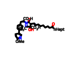 CCCCCCCC(=O)CCCCCC/C=C/[C@H](C(=O)N[C@@H](Cc1ccc(-c2ccc(OC)nc2)cc1)C(=O)O)[C@@](O)(CC(=O)O)C(=O)O